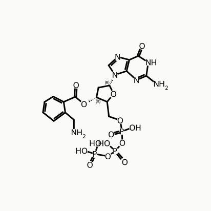 NCc1ccccc1C(=O)O[C@@H]1C[C@H](n2cnc3c(=O)[nH]c(N)nc32)OC1COP(=O)(O)OP(=O)(O)OP(=O)(O)O